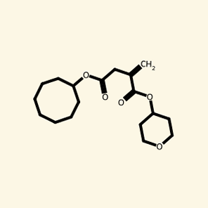 C=C(CC(=O)OC1CCCCCCC1)C(=O)OC1CCOCC1